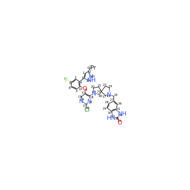 CC(C)c1cc(-c2cc(F)ccc2Oc2cnc(Cl)nc2N2CCC3(CCN(Cc4ccc5[nH]c(=O)[nH]c5c4)C3)C2)[nH]n1